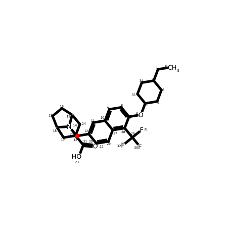 CCC1CCC(Oc2ccc3cc(CN4C5CCC4CC(C(=O)O)C5)ccc3c2C(F)(F)F)CC1